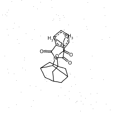 CN(C)C(=O)OC12CC3CC(C1)C(N1C(=O)c4ccccc4C1=O)C(C3)C2